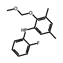 COCOc1c(C)cc(C)cc1Pc1ccccc1F